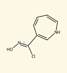 O/N=C(\Cl)C1=CNC=CC=C1